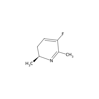 CC1=N[C@@H](C)CC=C1F